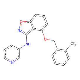 FC(F)(F)c1ccccc1COc1cccc2onc(Nc3cccnc3)c12